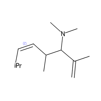 C=C(C)C(C(C)/C=C\C(C)C)N(C)C